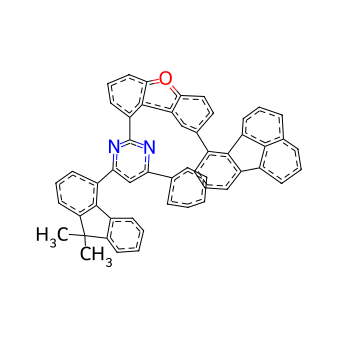 CC1(C)c2ccccc2-c2c(-c3cc(-c4ccccc4)nc(-c4cccc5oc6ccc(-c7cccc8c7-c7cccc9cccc-8c79)cc6c45)n3)cccc21